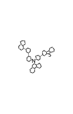 c1cc(-c2cccc(N(c3ccc(-c4ccc5c(c4)sc4ccccc45)cc3)c3cc4ccccc4c4ccccc34)c2)cc(-c2cccc3ccccc23)c1